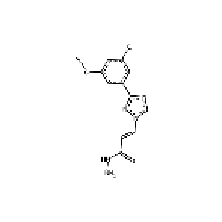 CC(C)Oc1cc(Cl)cc(-c2ncn(C=CC(=O)NN)n2)c1